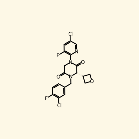 O=C1[C@H](C2COC2)N(Cc2ccc(F)c(Cl)c2)C(=O)CN1c1ncc(Cl)cc1F